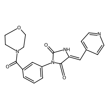 O=C(c1cccc(N2C(=O)N/C(=C\c3ccncc3)C2=O)c1)N1CCOCC1